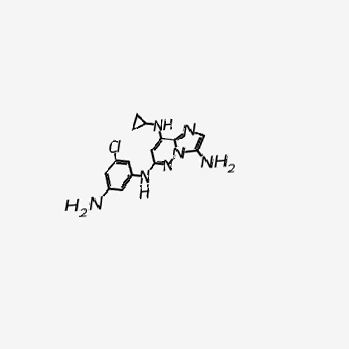 Nc1cc(Cl)cc(Nc2cc(NC3CC3)c3ncc(N)n3n2)c1